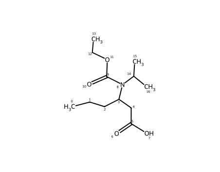 CCCC(CC(=O)O)N(C(=O)OCC)C(C)C